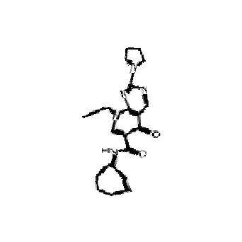 CCn1cc(C(=O)NC2CCCCC2)c(=O)c2cnc(N3CCCC3)nc21